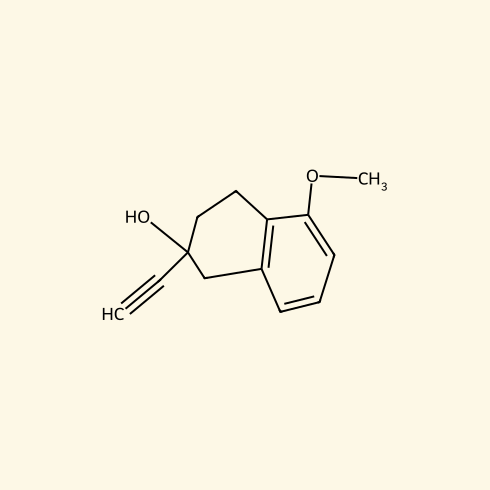 C#CC1(O)CCc2c(cccc2OC)C1